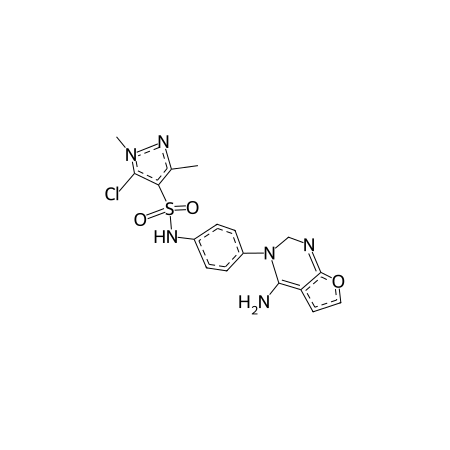 Cc1nn(C)c(Cl)c1S(=O)(=O)Nc1ccc(N2CN=c3occc3=C2N)cc1